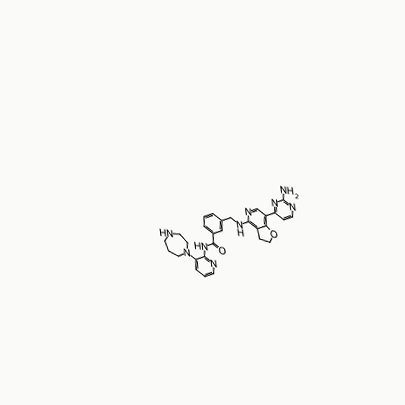 Nc1nccc(-c2cnc(NCc3cccc(C(=O)Nc4ncccc4N4CCCNCC4)c3)c3c2OCC3)n1